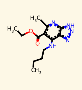 CCCCNc1c(C(=O)OCC)c(C)nc2[nH]nnc12